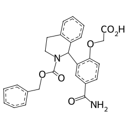 NC(=O)c1ccc(OCC(=O)O)c(C2c3ccccc3CCN2C(=O)OCc2ccccc2)c1